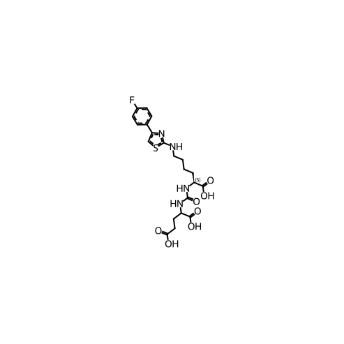 O=C(O)CCC(NC(=O)N[C@@H](CCCCNc1nc(-c2ccc(F)cc2)cs1)C(=O)O)C(=O)O